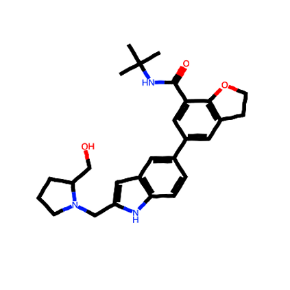 CC(C)(C)NC(=O)c1cc(-c2ccc3[nH]c(CN4CCCC4CO)cc3c2)cc2c1OCC2